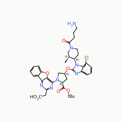 C[C@H]1CN(C(=O)CCCN)CC[C@H]1n1c(O[C@H]2C[C@@H](C(=O)OC(C)(C)C)N(c3nc(CC(=O)O)nc4c3oc3ccccc34)C2)nc2cccc(Cl)c21